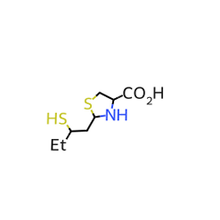 CCC(S)CC1NC(C(=O)O)CS1